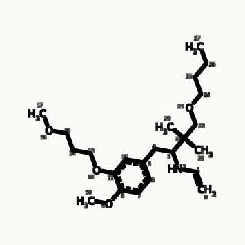 C=CNC(Cc1ccc(OC)c(OCCCOC)c1)C(C)(C)COCCCC